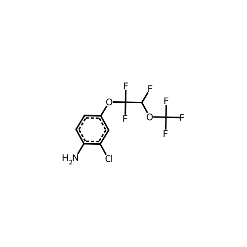 Nc1ccc(OC(F)(F)C(F)OC(F)(F)F)cc1Cl